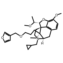 CC[C@@]1(CCCOCc2ccoc2)[C@H]2Cc3ccc(OC)c4c3[C@@]1(CCN2CC1CC1)[C@H](C(C)OC)O4